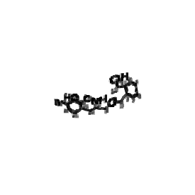 O=C(O)NC(COCc1ccccc1CO)Cc1ccc(Br)cc1